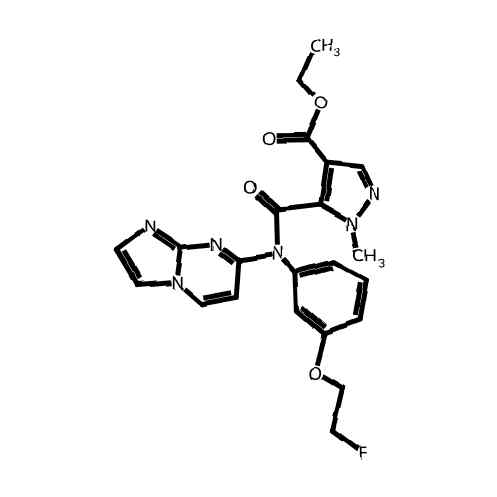 CCOC(=O)c1cnn(C)c1C(=O)N(c1cccc(OCCF)c1)c1ccn2ccnc2n1